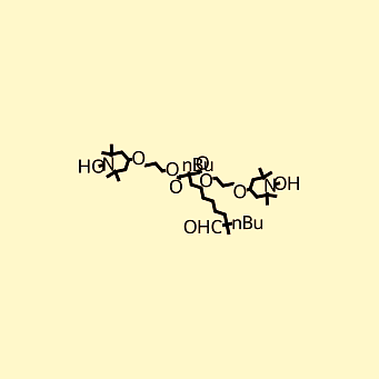 CCCCC(C)(C=O)CCCCCCC(CCCC)(C(=O)OCCCOC1CC(C)(C)N(O)C(C)(C)C1)C(=O)OCCCOC1CC(C)(C)N(O)C(C)(C)C1